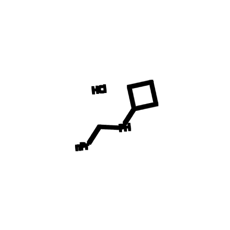 CCCCPC1CCC1.Cl